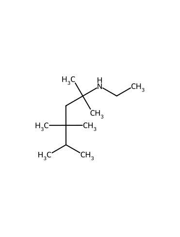 CCNC(C)(C)CC(C)(C)C(C)C